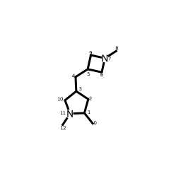 CC1CC(CC2CN(C)C2)CN1C